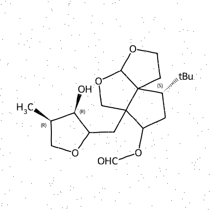 C[C@@H]1COC(CC23COC4OCCC42[C@H](C(C)(C)C)CC3OC=O)[C@@H]1O